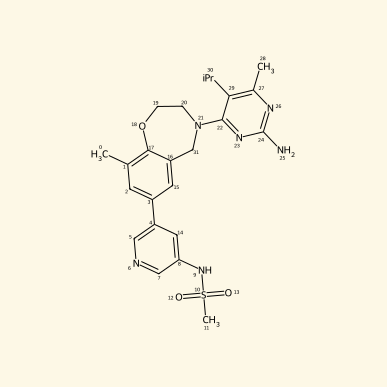 Cc1cc(-c2cncc(NS(C)(=O)=O)c2)cc2c1OCCN(c1nc(N)nc(C)c1C(C)C)C2